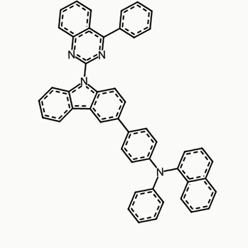 c1ccc(-c2nc(-n3c4ccccc4c4cc(-c5ccc(N(c6ccccc6)c6cccc7ccccc67)cc5)ccc43)nc3ccccc23)cc1